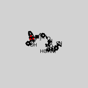 Cc1ncsc1-c1ccc([C@H](C)NC(=O)[C@@H]2C[C@@H](O)CN2C(=O)[C@H](c2cc(OCC[C@H]3CCN(C[C@H]4C[C@H](Oc5cc(N6C7CCC6CN(c6cc(-c8ccccc8O)nnc6N)C7)ccn5)C4)[C@@H](C)[C@H]3C)no2)C(C)C)cc1